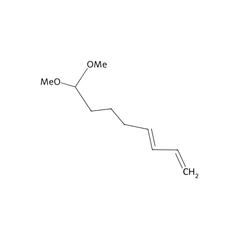 C=C/C=C/CCCC(OC)OC